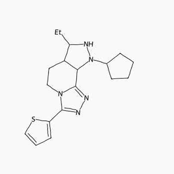 CCC1NN(C2CCCC2)C2c3nnc(-c4cccs4)n3CCC12